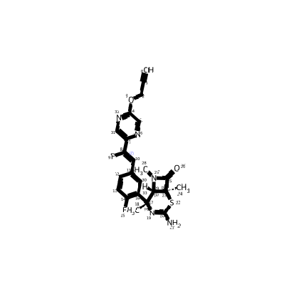 C#CCOc1cnc(/C(F)=C/c2ccc(F)c([C@@]3(C)N=C(N)S[C@]4(C)C(=O)N(C)[C@H]43)c2)cn1